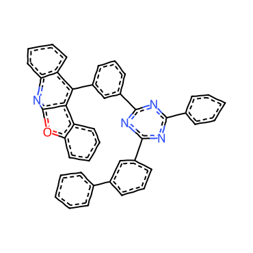 c1ccc(-c2cccc(-c3nc(-c4ccccc4)nc(-c4cccc(-c5c6ccccc6nc6oc7ccccc7c56)c4)n3)c2)cc1